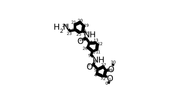 COc1ccc(C(=O)NCc2cccc(C(=O)Nc3cccc(CN)c3)c2)cc1OC